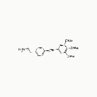 COc1cc(C#Cc2ccc(CSN)cc2)cc(OC)c1OC